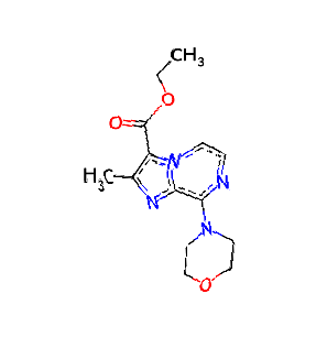 CCOC(=O)c1c(C)nc2c(N3CCOCC3)nccn12